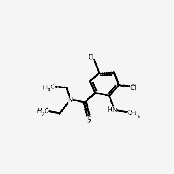 CCN(CC)C(=S)c1cc(Cl)cc(Cl)c1NC